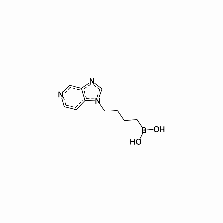 OB(O)CCCCn1cnc2cnccc21